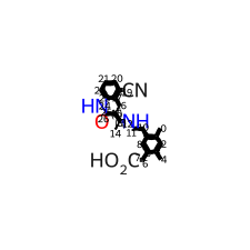 Cc1cc(C)c(CC(=O)O)cc1CCN[C@@H](C)[C@@H]1Cc2c(C#N)cccc2NC1=O